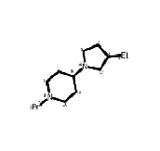 CCC1CCN(C2CCN(C(C)C)CC2)C1